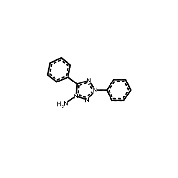 N[n+]1nn(-c2ccccc2)nc1-c1ccccc1